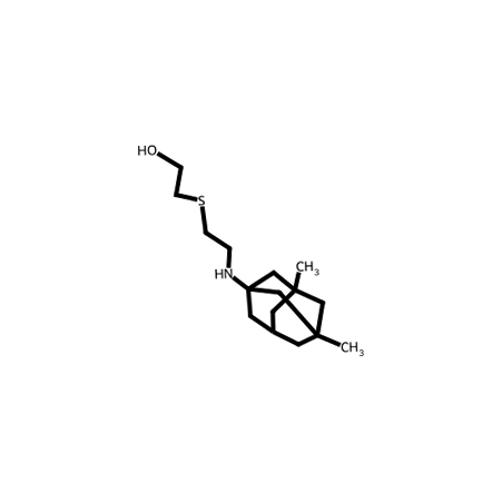 CC12CC3CC(C)(C1)CC(NCCSCCO)(C3)C2